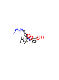 C[C@@H](c1ccc(-c2cccc(CN)c2)cc1)N1CCC(CCCO)(c2ccccc2)OC1=O